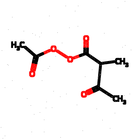 CC(=O)OOC(=O)C(C)C(C)=O